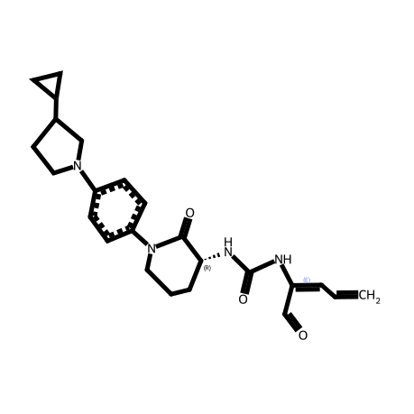 C=C/C=C(\C=O)NC(=O)N[C@@H]1CCCN(c2ccc(N3CCC(C4CC4)C3)cc2)C1=O